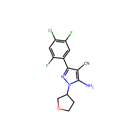 N#Cc1c(-c2cc(F)c(Cl)cc2F)nn(C2CCOC2)c1N